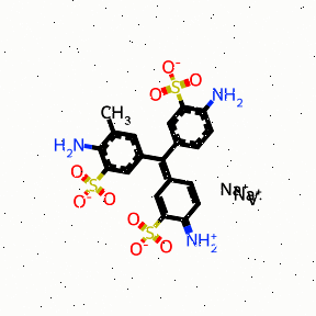 Cc1cc(/C(=C2/C=CC(=[NH2+])C(S(=O)(=O)[O-])=C2)c2ccc(N)c(S(=O)(=O)[O-])c2)cc(S(=O)(=O)[O-])c1N.[Na+].[Na+].[V]